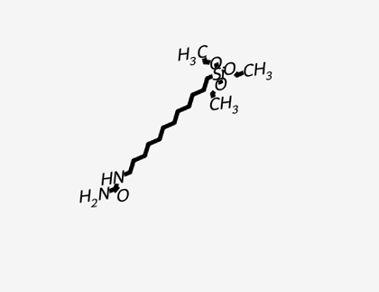 CCO[Si](CCCCCCCCCCCCNC(N)=O)(OCC)OCC